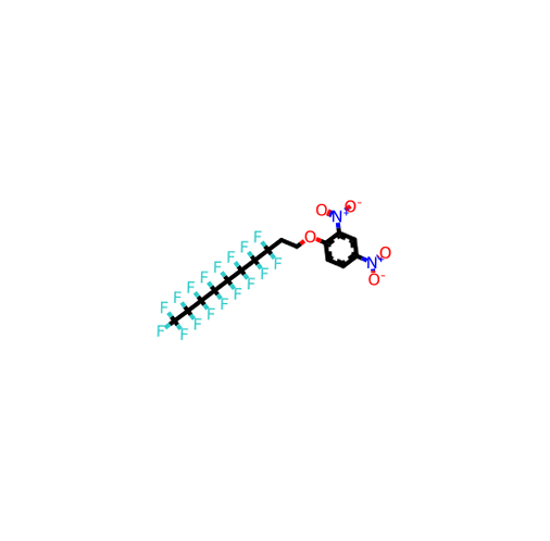 O=[N+]([O-])c1ccc(OCCC(F)(F)C(F)(F)C(F)(F)C(F)(F)C(F)(F)C(F)(F)C(F)(F)C(F)(F)F)c([N+](=O)[O-])c1